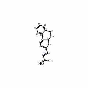 O=C(O)/C=C/c1ccc2c(ccc3ccccc32)c1